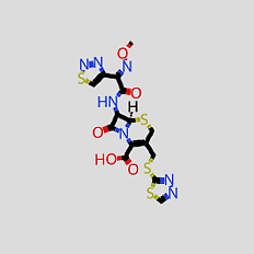 CO/N=C(/C(=O)NC1C(=O)N2C(C(=O)O)=C(CSc3nncs3)CS[C@H]12)c1csnn1